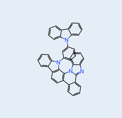 c1cc(-n2c3ccccc3c3ccccc32)cc(-n2c3ccccc3c3ccc4c5ccccc5c5nc6ccccc6n5c4c32)c1